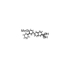 COc1ccc(-c2ccc3cc(B(O)O)ccc3c2)cc1C1CCCCC1